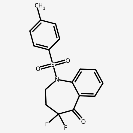 Cc1ccc(S(=O)(=O)N2CCC(F)(F)C(=O)c3ccccc32)cc1